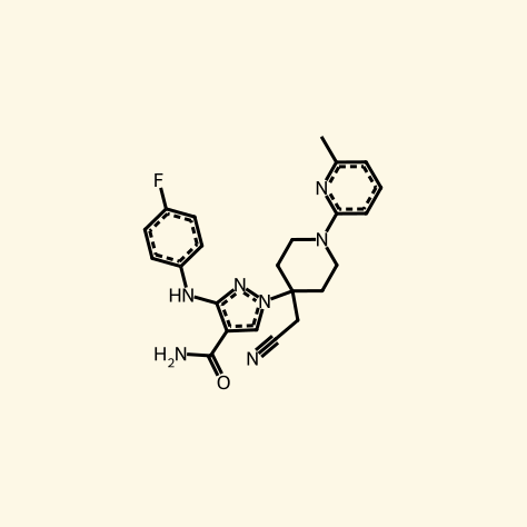 Cc1cccc(N2CCC(CC#N)(n3cc(C(N)=O)c(Nc4ccc(F)cc4)n3)CC2)n1